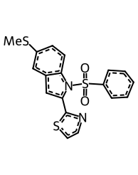 CSc1ccc2c(c1)cc(-c1nccs1)n2S(=O)(=O)c1ccccc1